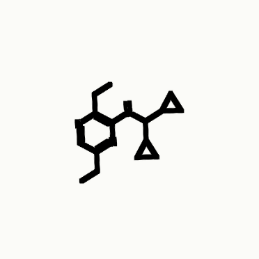 CCc1cnc(CC)c(NC(C2CC2)C2CC2)n1